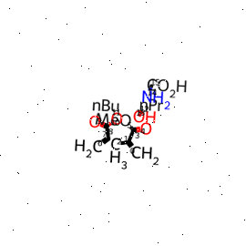 C=C(C)C(=O)OC.C=CC(=O)OCCCC.CCCO.NC(=O)O